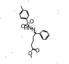 COC(=O)CCC/C(=N\NS(=O)(=O)c1ccc(C)cc1)c1ccccc1